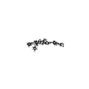 CC(C)N1C(=O)N(Cc2ncnc(OCc3ccccc3)c2OCc2ccccc2)CC1c1ccc(CCc2ccc(CNC3CCOC3)cc2)cc1